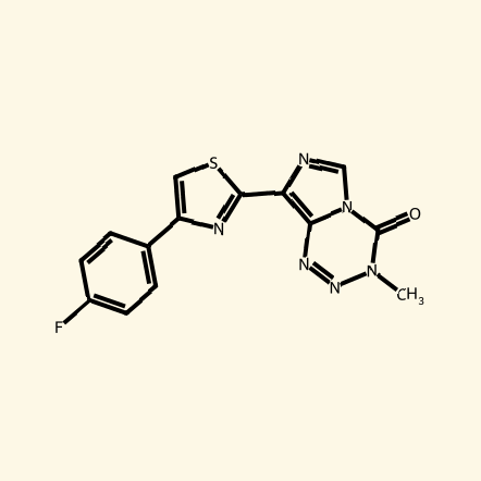 Cn1nnc2c(-c3nc(-c4ccc(F)cc4)cs3)ncn2c1=O